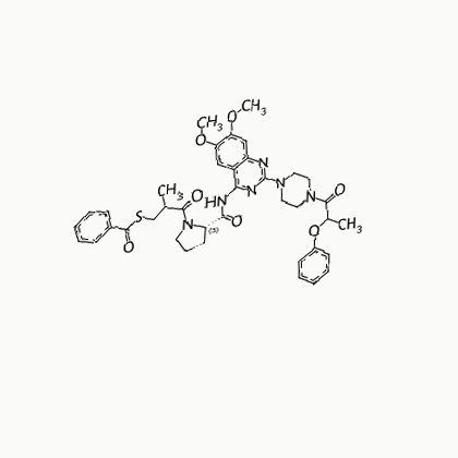 COc1cc2nc(N3CCN(C(=O)C(C)Oc4ccccc4)CC3)nc(NC(=O)[C@@H]3CCCN3C(=O)C(C)CSC(=O)c3ccccc3)c2cc1OC